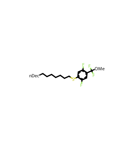 CCCCCCCCCCCCCCCCCSc1cc(F)c(C(F)(F)OC)cc1F